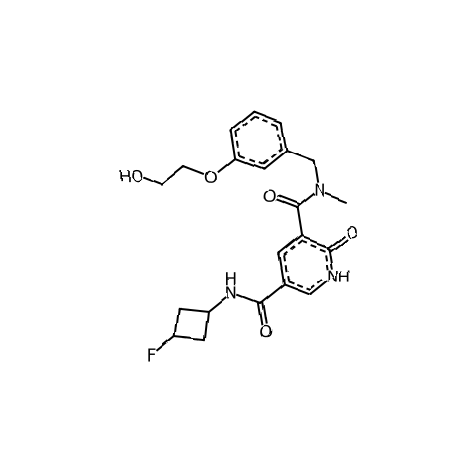 CN(Cc1cccc(OCCO)c1)C(=O)c1cc(C(=O)NC2CC(F)C2)c[nH]c1=O